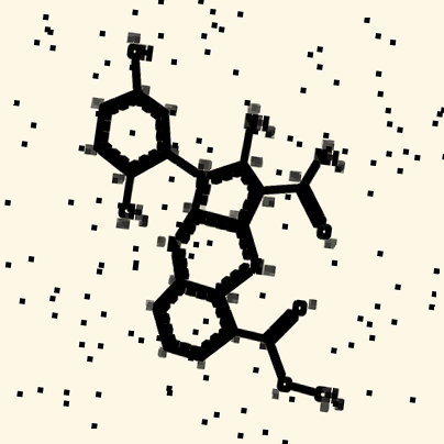 COC(=O)c1cccc2nc3c(nc12)c(C(N)=O)c(N)n3-c1cc(O)ccc1C